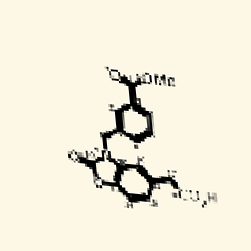 COC(=O)c1cccc(Cn2c(=O)oc3ccc(CC(=O)O)cc32)c1